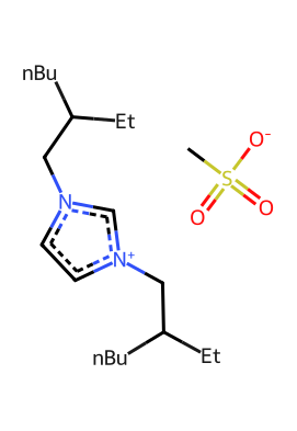 CCCCC(CC)Cn1cc[n+](CC(CC)CCCC)c1.CS(=O)(=O)[O-]